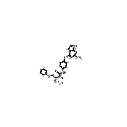 Nc1nc(Oc2ccc(NC(=O)N[C@@H](CCc3ccccc3)C(=O)O)cc2)c2cc[nH]c2n1